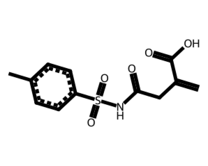 C=C(CC(=O)NS(=O)(=O)c1ccc(C)cc1)C(=O)O